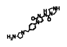 N[C@H]1CCN(CCc2ccc(-n3ccc(NC(=O)N4CCNCC4)nc3=O)cc2)C1